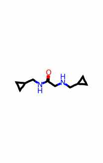 O=C(CNCC1CC1)NCC1CC1